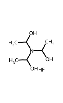 CC(O)N(C(C)O)C(C)O.F